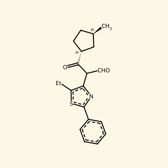 CCc1sc(-c2ccccc2)nc1C(C=O)C(=O)[C@@H]1CC[C@@H](C)C1